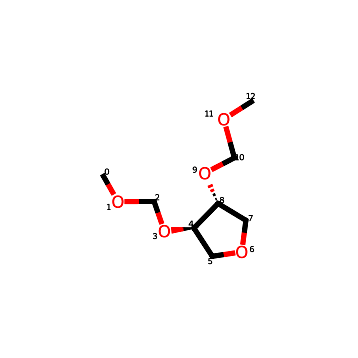 COCO[C@@H]1COC[C@H]1OCOC